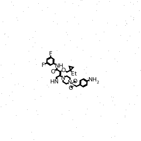 CCC1(CO/C(C(=O)Nc2cc(F)cc(F)c2)=C(/C=N)N2CCN(S(=O)(=O)Cc3ccc(N)cc3)CC2)CC1